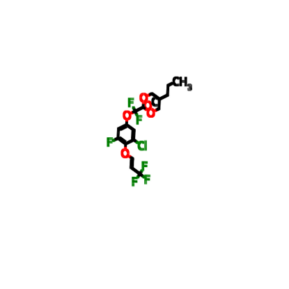 CCCC12COC(C(F)(F)Oc3cc(F)c(O/C=C/C(F)(F)F)c(Cl)c3)(OC1)OC2